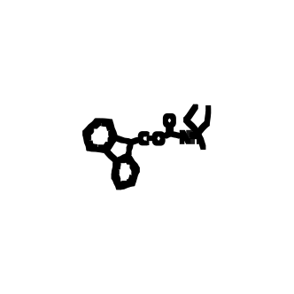 CCC(C)(CC)NC(=O)OCC1c2ccccc2-c2ccccc21